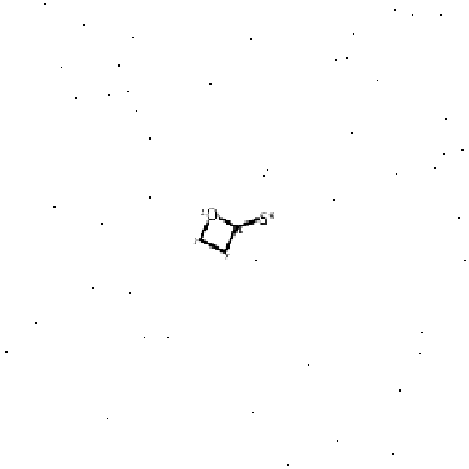 [S]C1CCO1